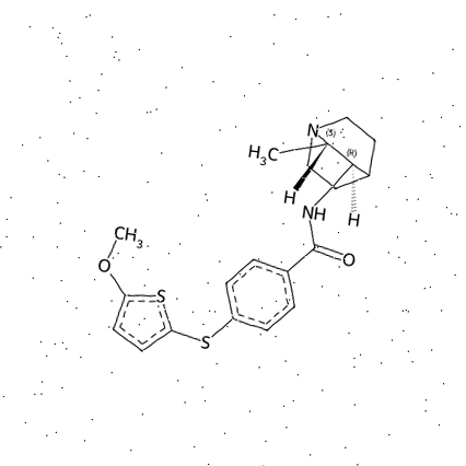 COc1ccc(Sc2ccc(C(=O)N[C@@H]3C4CCN(CC4)[C@H]3C)cc2)s1